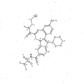 COc1ccc2c(c1)C=C(C(=O)N(C)CCO)Cn1c-2c(C2CCCCC2)c2ccc(C(=O)NS(=O)(=O)N(C)C)cc21